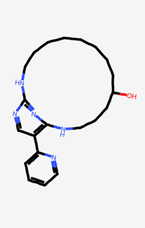 OC1CCCCCCCCNc2ncc(-c3ccccn3)c(n2)NCCC1